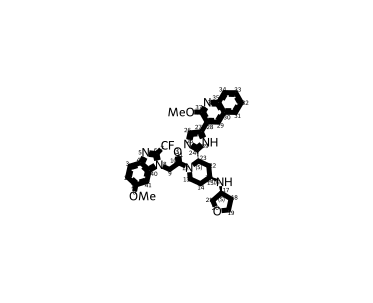 COc1ccc2nc(C(F)(F)F)n(CC(=O)N3CC[C@H](N[C@H]4CCOC4)C[C@H]3c3ncc(-c4cc5ccccc5nc4OC)[nH]3)c2c1